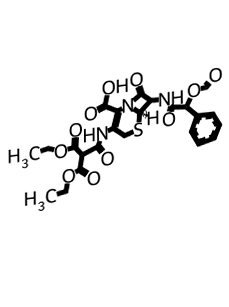 CCOC(=O)C(C(=O)NC1=C(C(=O)O)N2C(=O)C(NC(=O)C(OC=O)c3ccccc3)[C@H]2SC1)C(=O)OCC